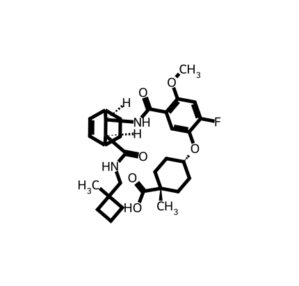 COc1cc(F)c(O[C@H]2CC[C@@](C)(C(=O)O)CC2)cc1C(=O)N[C@@H]1C2C=CC(CC2)[C@@H]1C(=O)NCC1(C)CCC1